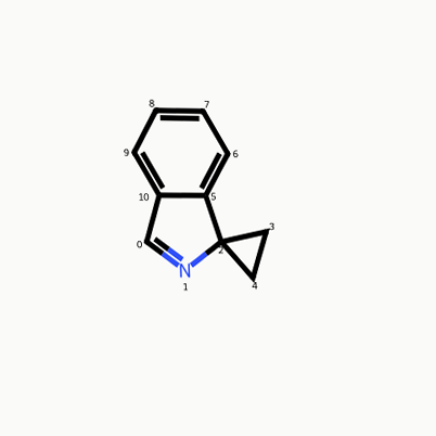 C1=NC2(CC2)c2ccccc21